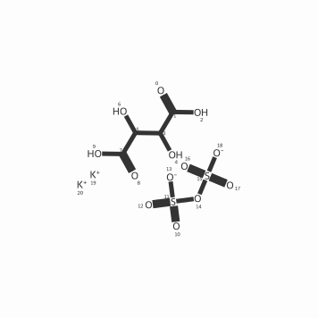 O=C(O)C(O)C(O)C(=O)O.O=S(=O)([O-])OS(=O)(=O)[O-].[K+].[K+]